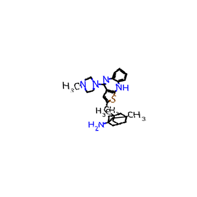 CC12CC3CC(C)(C1)CC(N)(C3)C2.Cc1cc2c(s1)Nc1ccccc1N=C2N1CCN(C)CC1